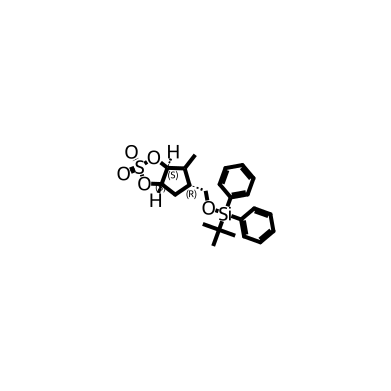 CC1[C@H](CO[Si](c2ccccc2)(c2ccccc2)C(C)(C)C)C[C@@H]2OS(=O)(=O)O[C@@H]12